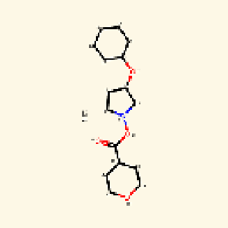 O=C(ON1CC[C@@H](OC2CCCCC2)C1)C1CCOCC1.[Li]